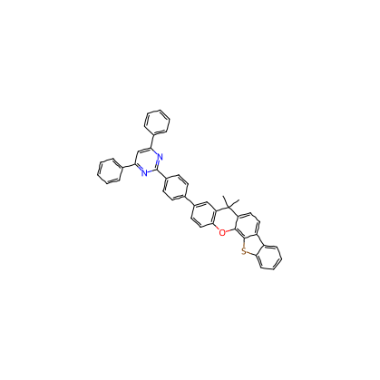 CC1(C)c2cc(-c3ccc(-c4nc(-c5ccccc5)cc(-c5ccccc5)n4)cc3)ccc2Oc2c1ccc1c2sc2ccccc21